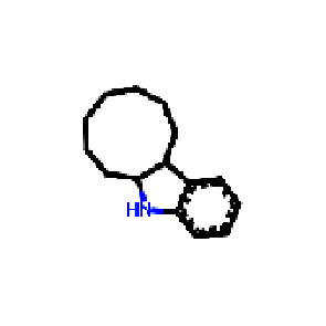 c1ccc2c(c1)NC1CCCCCCCC21